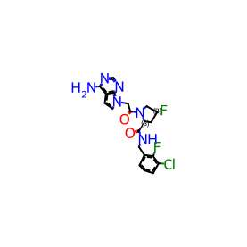 Nc1ncnc2c1ccn2CC(=O)N1C[C@H](F)C[C@H]1C(=O)NCc1cccc(Cl)c1F